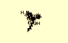 CCCCCC(=O)C(O)C1=C[C@@H](O[Si](C)(C)C(C)(C)C)[C@H](n2ccc(N)nc2=O)O1